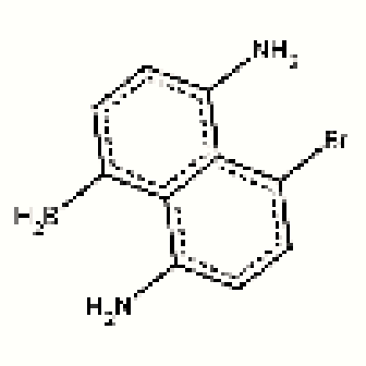 Bc1ccc(N)c2c(Br)ccc(N)c12